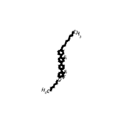 CCCCCCCCC1CCC(c2ccc(-c3ccc(-c4ccc(OCCCCCCC)c(F)c4F)cc3)cc2F)CC1